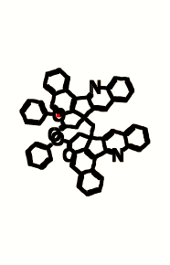 O=C(CC1(CC2(CC(=O)Oc3ccccc3)c3cc4ccccc4nc3-c3c2ccc2ccccc32)c2cc3ccccc3nc2-c2c1ccc1ccccc21)Oc1ccccc1